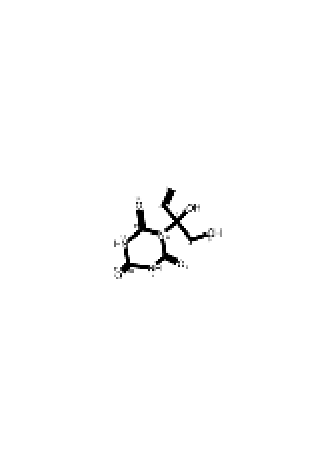 C=CC(O)(CO)n1c(=O)[nH]c(=O)[nH]c1=O